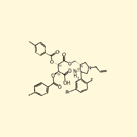 C=CCN1C[C@@H](COC(=O)[C@@H](OC(=O)c2ccc(C)cc2)[C@H](OC(=O)c2ccc(C)cc2)C(=O)O)[C@](N)(c2cc(Br)ccc2F)C1